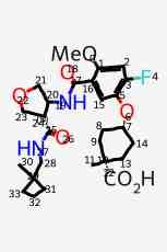 COc1cc(F)c(O[C@H]2CC[C@@](C)(C(=O)O)CC2)cc1C(=O)NC1COC[C@H]1C(=O)NCC1(C)CCC1